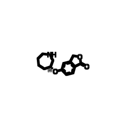 O=C1OCc2cc(O[C@@H]3CCCCNC3)ccc21